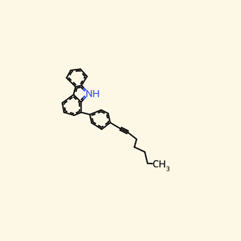 CCCCCC#Cc1ccc(-c2cccc3c2[nH]c2ccccc23)cc1